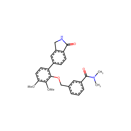 COc1ccc(-c2ccc3c(c2)CNC3=O)c(OCc2cccc(C(=O)N(C)C)c2)c1OC